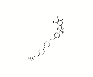 CCC[C@H]1CC[C@H]([C@H]2CC[C@H](CCc3ccc(C(F)(F)Oc4cc(F)c(F)c(F)c4)cc3)CC2)CC1